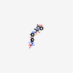 COC(=O)Nc1nc2ccc(Oc3ccc(NC(=O)c4c(C)n(CC(C)(C)O)n(-c5ccccc5)c4=O)cc3)cc2[nH]1